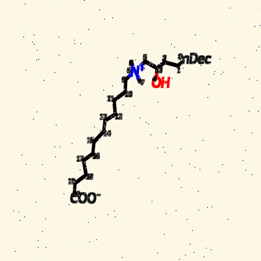 CCCCCCCCCCCCC(O)C[N+](C)(C)CCCCCCCCCCCC(=O)[O-]